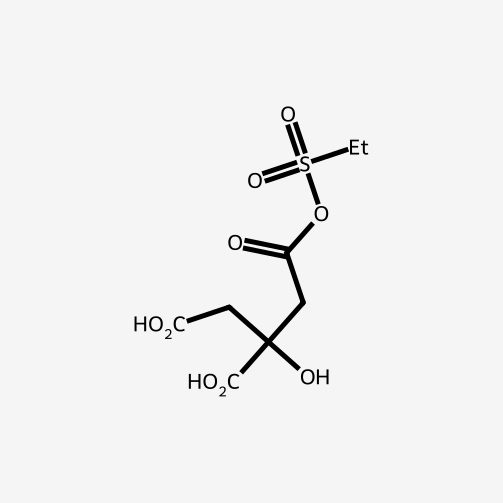 CCS(=O)(=O)OC(=O)CC(O)(CC(=O)O)C(=O)O